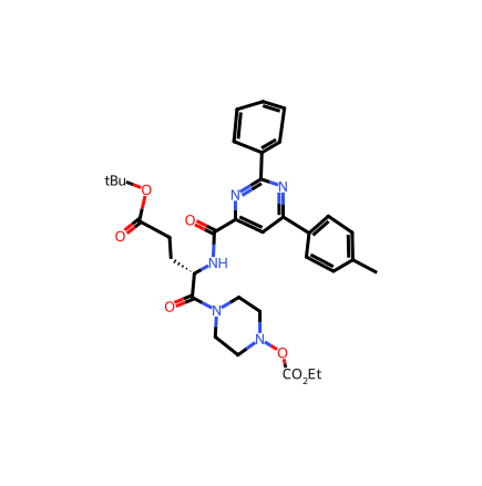 CCOC(=O)ON1CCN(C(=O)[C@H](CCC(=O)OC(C)(C)C)NC(=O)c2cc(-c3ccc(C)cc3)nc(-c3ccccc3)n2)CC1